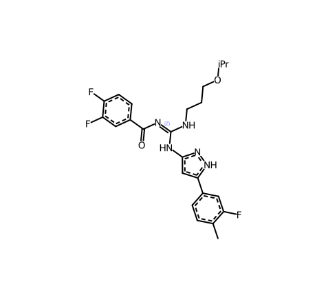 Cc1ccc(-c2cc(N/C(=N\C(=O)c3ccc(F)c(F)c3)NCCCOC(C)C)n[nH]2)cc1F